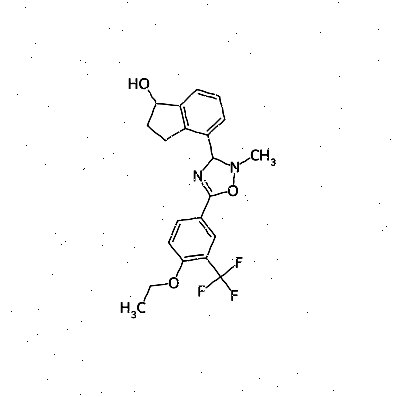 CCOc1ccc(C2=NC(c3cccc4c3CCC4O)N(C)O2)cc1C(F)(F)F